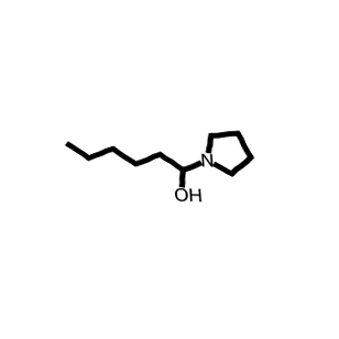 CCCCCC(O)N1CCCC1